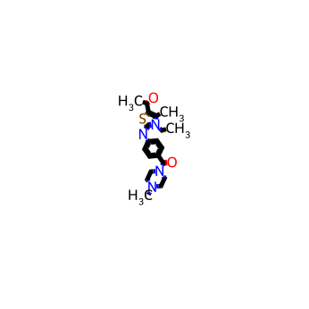 CCn1c(C)c(C(C)=O)sc1=Nc1ccc(C(=O)N2CCN(C)CC2)cc1